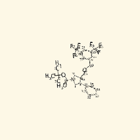 CC(C)(C)OC(=O)N1CC(c2ccccc2)[C@H](COCc2cc(C(F)(F)F)cc(C(F)(F)F)c2)C1